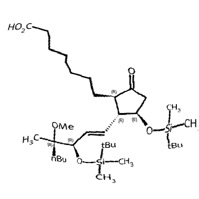 CCCC[C@@](C)(OC)[C@@H](C=C[C@H]1[C@H](O[Si](C)(C)C(C)(C)C)CC(=O)[C@@H]1CCCCCCC(=O)O)O[Si](C)(C)C(C)(C)C